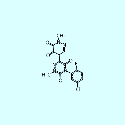 CN1N=CC(c2nn(C)c(=O)n(-c3cc(Cl)ccc3F)c2=O)C(=O)C1=O